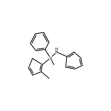 CC1=C([Si](C)(Nc2ccccc2)c2ccccc2)CC=C1